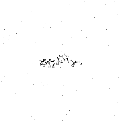 NC(=O)CCn1ccc2cnc(Nc3ccc(-n4cncn4)cc3)nc21